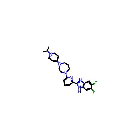 CC(C)N1CCC(N2CCCN(c3cccc(-c4nc5cc(F)c(F)cc5[nH]4)n3)CC2)CC1